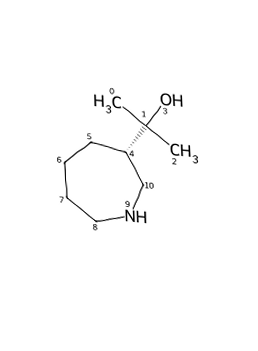 CC(C)(O)[C@H]1CCCCNC1